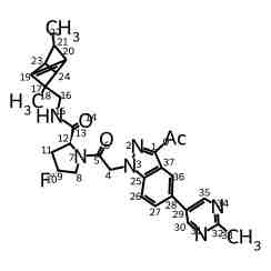 CC(=O)c1nn(CC(=O)N2C[C@H](F)C[C@H]2C(=O)NCC2(C)C3=C4C(C)C3C42)c2ccc(-c3cnc(C)nc3)cc12